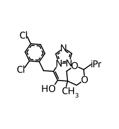 CC(C)C1OCC(C)(C(O)=C(Cc2ccc(Cl)cc2Cl)n2cncn2)CO1